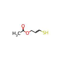 CC(=O)OCC=CS